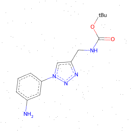 CC(C)(C)OC(=O)NCc1cn(-c2cccc(N)c2)nn1